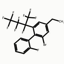 CCc1[c]c(Br)c(-c2ccccc2F)c(C(F)(C(F)(F)F)C(F)(F)C(F)(F)F)c1